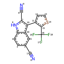 N#Cc1ccc2[nH]c(C#N)c(-c3ccsc3C(F)(F)F)c2c1